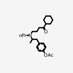 CCCN(CCCC(=O)C1CCCCC1)C(C)Cc1ccc(OC(C)=O)cc1